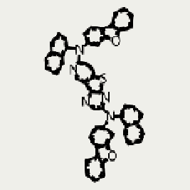 c1ccc2c(N(c3ccc4c(c3)oc3ccccc34)c3cc4sc5nc(N(c6ccc7c(c6)oc6ccccc67)c6cccc7ccccc67)cnc5c4cn3)cccc2c1